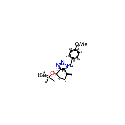 C=C1CC[C@@H](O[Si](C)(C)C(C)(C)C)c2nnn(Cc3ccc(OC)cc3)c21